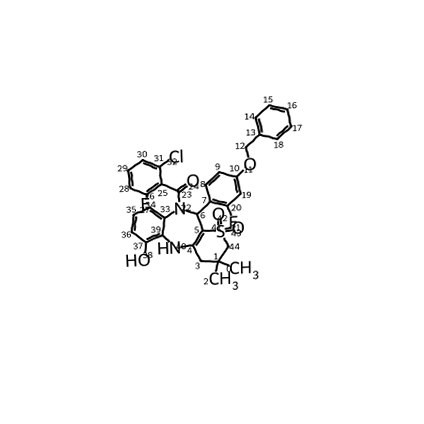 CC1(C)CC2=C(C(c3ccc(OCc4ccccc4)cc3F)N(C(=O)c3c(F)cccc3Cl)c3cccc(O)c3N2)S(=O)(=O)C1